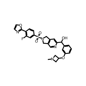 CN1CC(Oc2cccc(C(O)c3cc4c(cn3)CN(S(=O)(=O)c3ccc(-c5ncco5)c(F)c3)C4)c2)C1